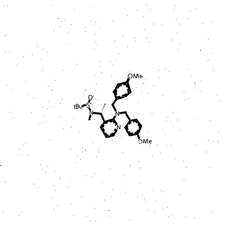 COc1ccc(CN(Cc2ccc(OC)cc2)c2ncccc2[C@@H](C)N(C)[S+]([O-])C(C)(C)C)cc1